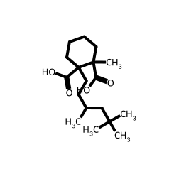 CC(CCC1(C(=O)O)CCCCC1(C)C(=O)O)CC(C)(C)C